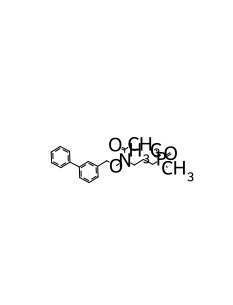 CC(=O)N(CCCP(C)(C)=O)OCc1cccc(-c2ccccc2)c1